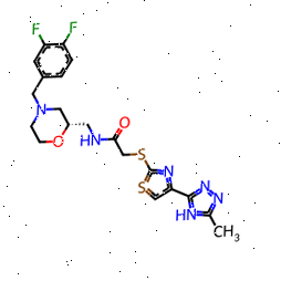 Cc1nnc(-c2csc(SCC(=O)NC[C@H]3CN(Cc4ccc(F)c(F)c4)CCO3)n2)[nH]1